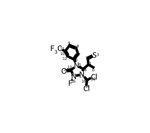 CC(C=S)C1N(c2cccc(C(F)(F)F)c2)C(=O)N(F)N1C(Cl)Cl